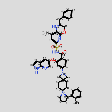 CC(C)c1ccccc1[C@@H]1CCCN1C1CCC2(CC1)CN(c1ccc(C(=O)NS(=O)(=O)c3cc([N+](=O)[O-])c4c(n3)OCC(Cc3ccccc3)N4)c(Oc3cnc4[nH]ccc4c3)c1)C2